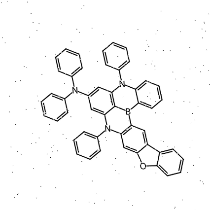 c1ccc(N(c2ccccc2)c2cc3c4c(c2)N(c2ccccc2)c2cc5oc6ccccc6c5cc2B4c2ccccc2N3c2ccccc2)cc1